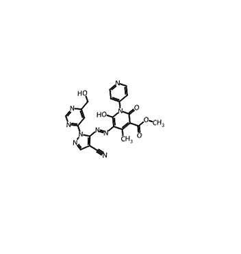 COC(=O)c1c(C)c(/N=N/c2c(C#N)cnn2-c2cc(CO)ncn2)c(O)n(-c2ccncc2)c1=O